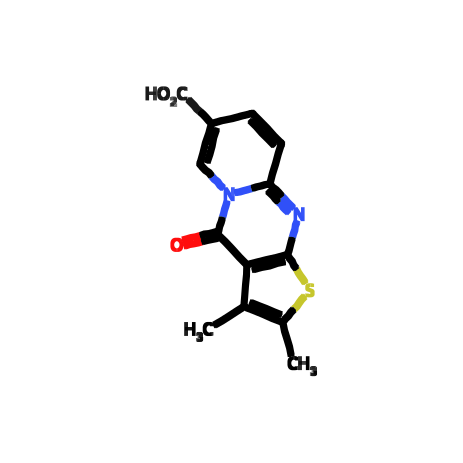 Cc1sc2nc3ccc(C(=O)O)cn3c(=O)c2c1C